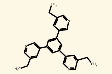 CCc1cncc(-c2cc(-c3cncc(CC)c3)cc(-c3cncc(CC)c3)c2)c1